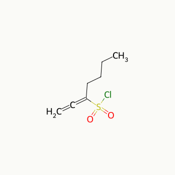 C=C=C(CCCC)S(=O)(=O)Cl